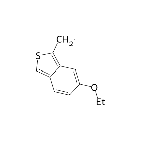 [CH2]c1scc2ccc(OCC)cc12